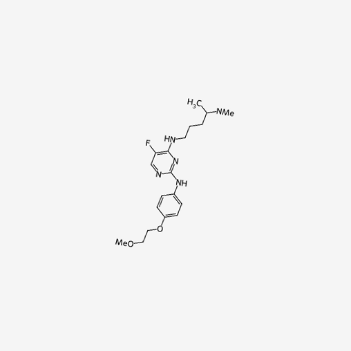 CNC(C)CCCNc1nc(Nc2ccc(OCCOC)cc2)ncc1F